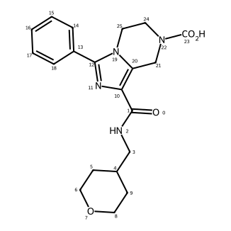 O=C(NCC1CCOCC1)c1nc(-c2ccccc2)n2c1CN(C(=O)O)CC2